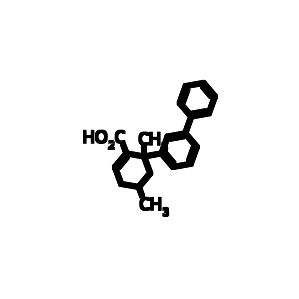 CC1CC=C(C(=O)O)C(C)(c2cccc(-c3ccccc3)c2)C1